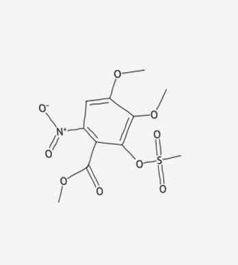 COC(=O)c1c([N+](=O)[O-])cc(OC)c(OC)c1OS(C)(=O)=O